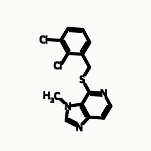 Cn1cnc2ccnc(SCc3cccc(Cl)c3Cl)c21